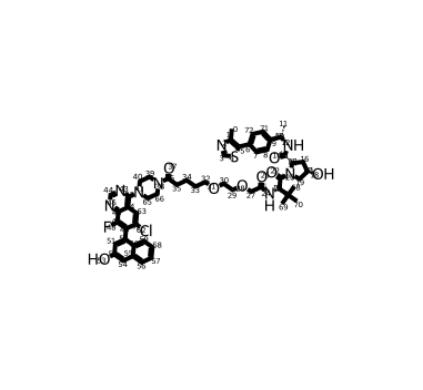 Cc1ncsc1-c1ccc([C@H](C)NC(=O)[C@@H]2C[C@@H](O)CN2C(=O)[C@@H](NC(=O)COCCOCCCCC(=O)N2CCN(c3ncnc4c(F)c(-c5cc(O)cc6ccccc56)c(Cl)cc34)CC2)C(C)(C)C)cc1